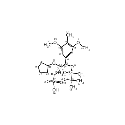 COc1cc([C@@H](O[Si](C)(C)C(C)(C)C)[C@H](CCS(=O)(=O)O)OC2CCCC2)cc(OC)c1C